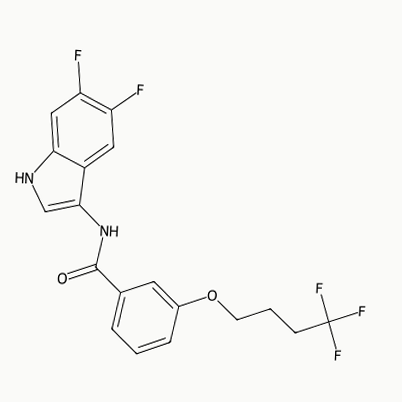 O=C(Nc1c[nH]c2cc(F)c(F)cc12)c1cccc(OCCCC(F)(F)F)c1